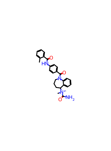 Cc1ccccc1C(=O)Nc1ccc(C(=O)N2CCCC([N+](C)(C)C(N)=O)c3ccccc32)cc1